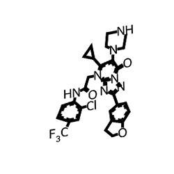 O=C(Cn1c(C2CC2)c(N2CCNCC2)c(=O)n2nc(-c3ccc4c(c3)CCO4)nc12)Nc1ccc(C(F)(F)F)cc1Cl